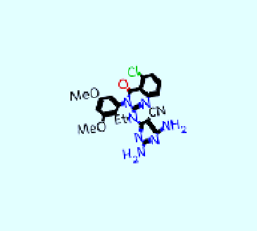 CCN(c1nc(N)nc(N)c1C#N)c1nc2cccc(Cl)c2c(=O)n1-c1cc(OC)cc(OC)c1